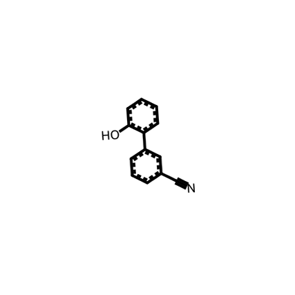 N#Cc1cccc(-c2ccccc2O)c1